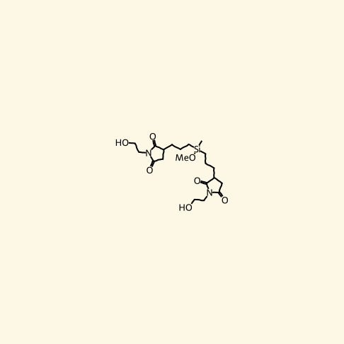 CO[Si](C)(CCCC1CC(=O)N(CCO)C1=O)CCCC1CC(=O)N(CCO)C1=O